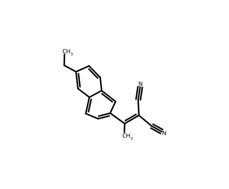 CCc1ccc2cc(C(C)=C(C#N)C#N)ccc2c1